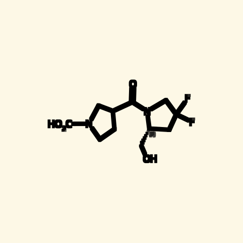 O=C(O)N1CCC(C(=O)N2CC(F)(F)C[C@@H]2CO)C1